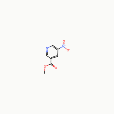 COC(=O)c1cncc([N+](=O)[O-])c1